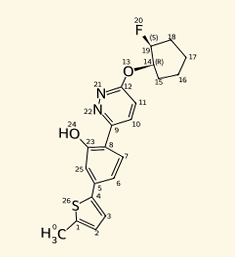 Cc1ccc(-c2ccc(-c3ccc(O[C@@H]4CCCC[C@@H]4F)nn3)c(O)c2)s1